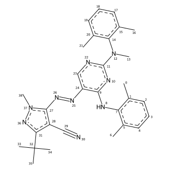 Cc1cccc(C)c1Nc1nc(N(C)c2c(C)cccc2C)ncc1N=Nc1c(C#N)c(C(C)(C)C)nn1C